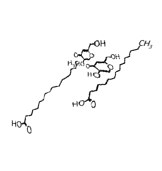 CCCCCCCCCCCCCCCC(=O)O.CCCCCCCCCCCCCCCC(=O)O.O=c1cc(CO)occ1O.O=c1cc(CO)occ1O